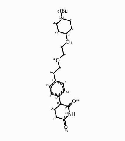 CC(C)(C)N1CCC(OCCOCCc2ccc(C3CCC(=O)NC3=O)cc2)CC1